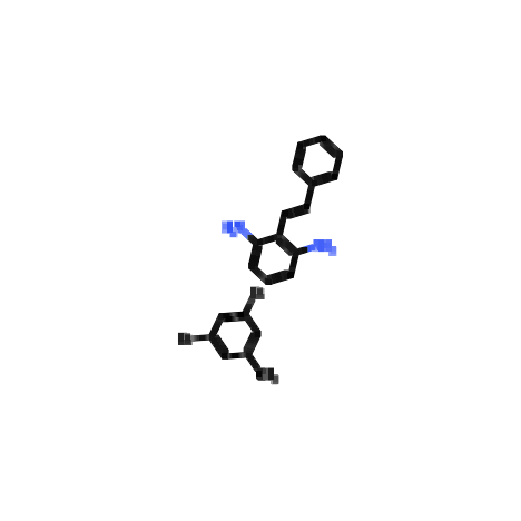 CCc1cc(C)cc(CC)c1.Nc1cccc(N)c1C=Cc1ccccc1